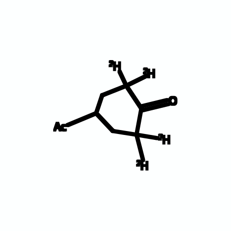 [2H]C1([2H])CC(C(C)=O)CC([2H])([2H])C1=O